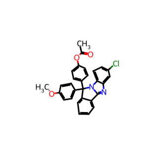 COc1ccc(C2(c3ccc(OC(C)=O)cc3)c3ccccc3-c3nc4cc(Cl)ccc4n32)cc1